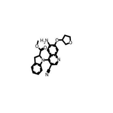 COC(=O)C1Cc2ccccc2N1c1c(C#N)cnc2cc(OC3CCOC3)c(N)cc12